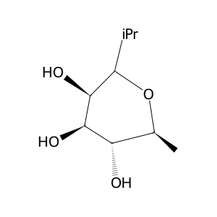 CC(C)C1O[C@@H](C)[C@H](O)[C@@H](O)[C@H]1O